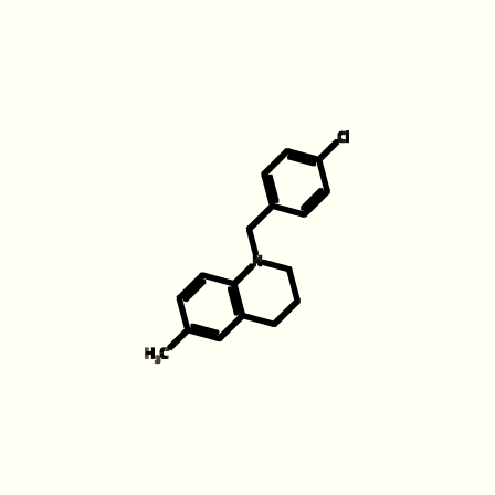 Cc1ccc2c(c1)CCCN2Cc1ccc(Cl)cc1